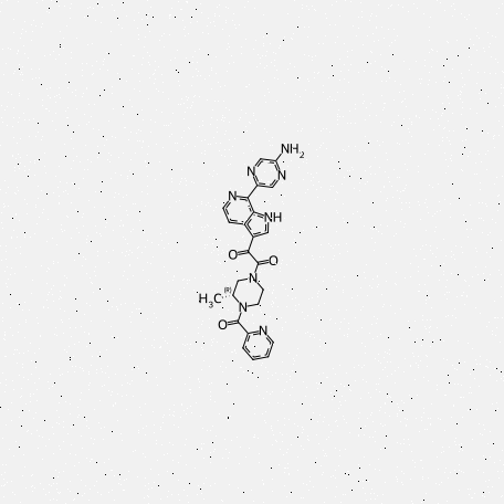 C[C@@H]1CN(C(=O)C(=O)c2c[nH]c3c(-c4cnc(N)cn4)nccc23)CCN1C(=O)c1ccccn1